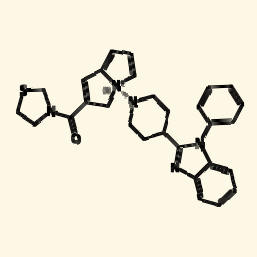 O=C(C1=CC2=CC=C[N@@+]2(N2CCC(c3nc4ccccc4n3-c3ccccc3)CC2)C1)N1CCSC1